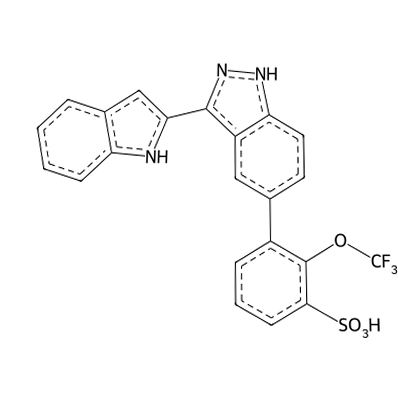 O=S(=O)(O)c1cccc(-c2ccc3[nH]nc(-c4cc5ccccc5[nH]4)c3c2)c1OC(F)(F)F